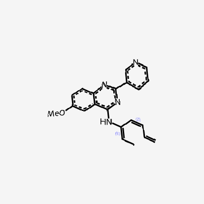 C=C/C=C\C(=C/C)Nc1nc(-c2cccnc2)nc2ccc(OC)cc12